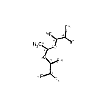 CC(OC(F)C(F)F)OC(F)C(F)F